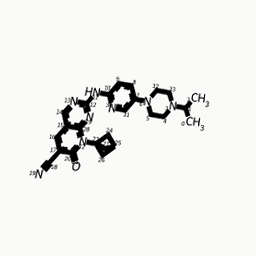 CC(C)N1CCN(c2ccc(Nc3ncc4cc(C#N)c(=O)n(C56CC(C5)C6)c4n3)nc2)CC1